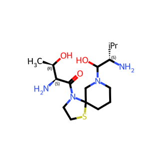 CC(C)[C@H](N)C(O)N1CCCC2(C1)SCCN2C(=O)[C@@H](N)[C@@H](C)O